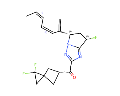 C=C(/C=C\C=C/C)[C@@H]1C[C@H](F)c2nc(C(=O)C3CC4(C3)CC4(F)F)nn21